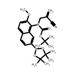 C=C(C#N)CN(C(=O)OC(C)(C)C)c1c(OC)ccc2ccc(B3OC(C)(C)C(C)(C)O3)cc12